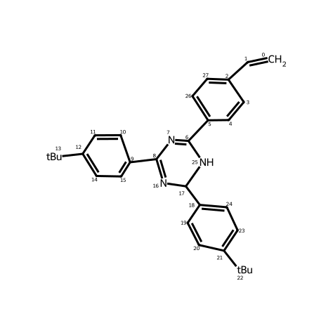 C=Cc1ccc(C2=NC(c3ccc(C(C)(C)C)cc3)=NC(c3ccc(C(C)(C)C)cc3)N2)cc1